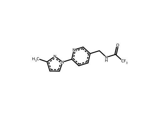 Cc1ccn(-c2ccc(CNC(=O)C(F)(F)F)cn2)n1